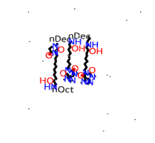 CCCCCCCCCCCCNCC(O)CCCCCCCn1c(=O)c2c(ncn2C)n(C)c1=O.CCCCCCCCCCNCC(O)CCCCCCCn1c(=O)c2c(ncn2C)n(C)c1=O.CCCCCCCCNCC(O)CCCCCCCCCN1C(=O)CCN(C)C1=O